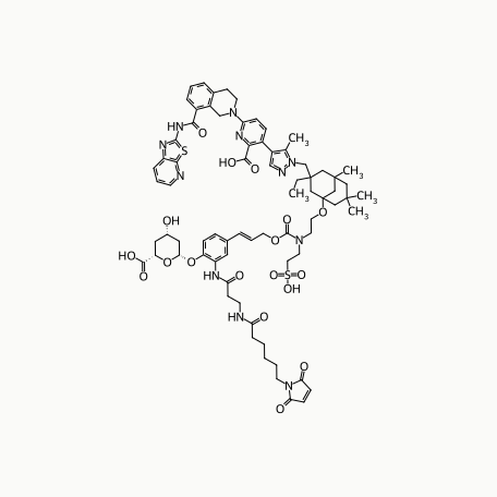 CCC1(Cn2ncc(-c3ccc(N4CCc5cccc(C(=O)Nc6nc7cccnc7s6)c5C4)nc3C(=O)O)c2C)CC2(C)CC(C)(C)CC(OCCN(CCS(=O)(=O)O)C(=O)OC/C=C/c3ccc(O[C@H]4C[C@@H](O)C[C@@H](C(=O)O)O4)c(NC(=O)CCNC(=O)CCCCCN4C(=O)C=CC4=O)c3)(C2)C1